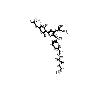 CC(O)Cc1cc(F)c(-c2cc(C(N)=O)c(Nc3cccc(COCC(=O)NCCO)n3)s2)c(F)c1